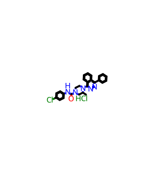 CC1CN(C(=O)Nc2ccc(Cl)cc2)CCN1c1nnc(-c2ccccc2)c2ccccc12.Cl